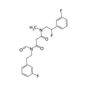 CN(CC(F)c1cccc(F)c1)C(=O)CC(=O)N(C=O)CCc1cccc(F)c1